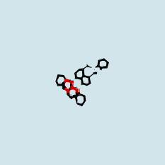 OC1c2ccc(-n3c4ccccc4c4ccccc43)c3c(N4c5ccccc5Oc5ccccc54)ccc(c23)-c2nc3ccccc3n21